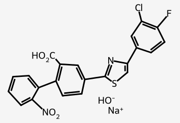 O=C(O)c1cc(-c2nc(-c3ccc(F)c(Cl)c3)cs2)ccc1-c1ccccc1[N+](=O)[O-].[Na+].[OH-]